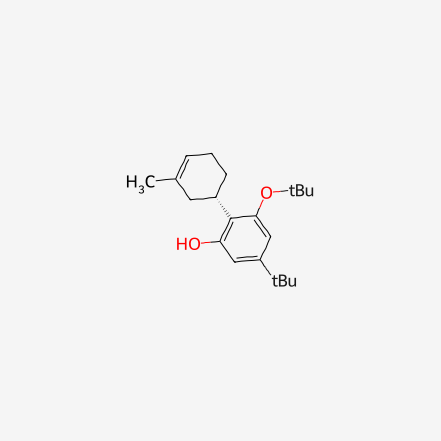 CC1=CCC[C@H](c2c(O)cc(C(C)(C)C)cc2OC(C)(C)C)C1